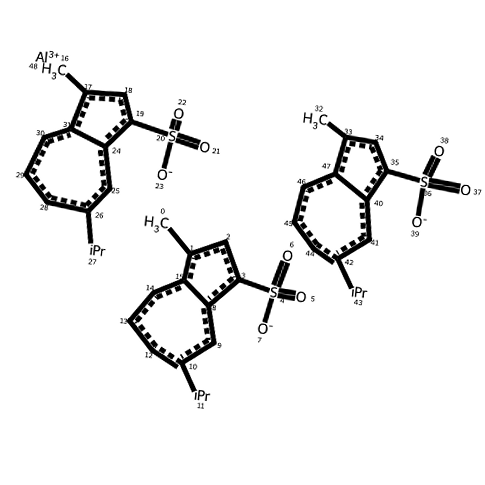 Cc1cc(S(=O)(=O)[O-])c2cc(C(C)C)cccc1-2.Cc1cc(S(=O)(=O)[O-])c2cc(C(C)C)cccc1-2.Cc1cc(S(=O)(=O)[O-])c2cc(C(C)C)cccc1-2.[Al+3]